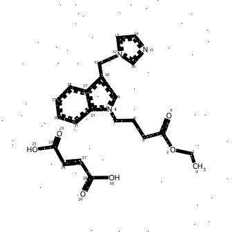 CCOC(=O)CCCn1cc(Cn2ccnc2)c2ccccc21.O=C(O)C=CC(=O)O